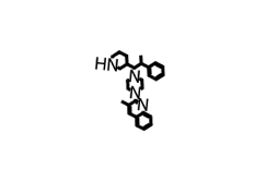 Cc1cc2ccccc2nc1N1CCN(C(C2CCCNC2)C(C)c2ccccc2)CC1